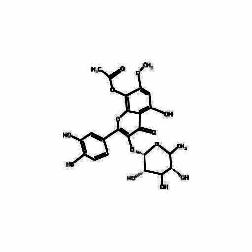 COc1cc(O)c2c(=O)c(O[C@@H]3OC(C)[C@H](O)C(O)[C@@H]3O)c(-c3ccc(O)c(O)c3)oc2c1OC(C)=O